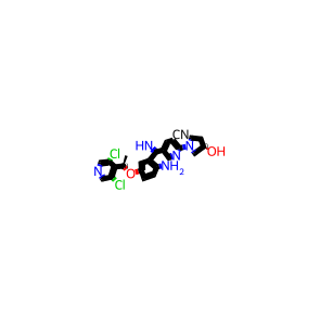 C[C@@H](Oc1ccc(N)c(C(=N)c2cnc(N3CC[C@H](O)C3)c(C#N)c2)c1)c1c(Cl)cncc1Cl